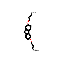 CNCCCOc1ccc2c(c1)Cc1ccc(OCCCNC)cc1-2